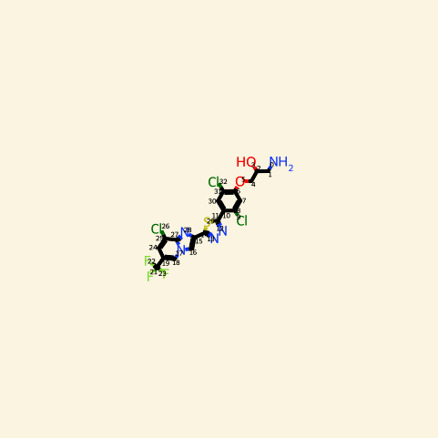 NCC(O)COc1cc(Cl)c(-c2nnc(-c3cn4cc(C(F)(F)F)cc(Cl)c4n3)s2)cc1Cl